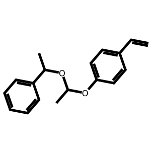 C=Cc1ccc(OC(C)OC(C)c2ccccc2)cc1